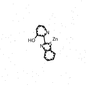 Oc1cccnc1-c1nc2ccccc2s1.[Zn]